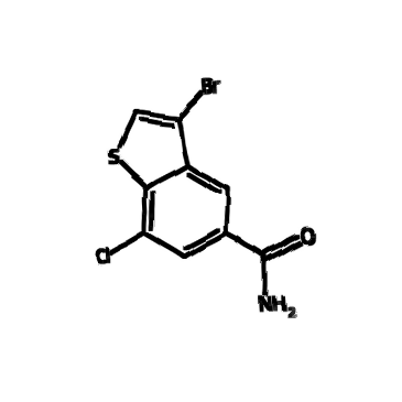 NC(=O)c1cc(Cl)c2scc(Br)c2c1